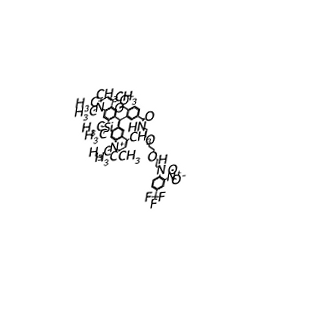 CC1=CC(C)(C)N(C)c2cc3c(cc21)C(c1cc(C(=O)NCCOCCOCCNc2ccc(C(F)(F)F)cc2[N+](=O)[O-])ccc1C(=O)[O-])=c1cc2c(cc1[Si]3(C)C)=[N+](C)C(C)(C)C=C2C